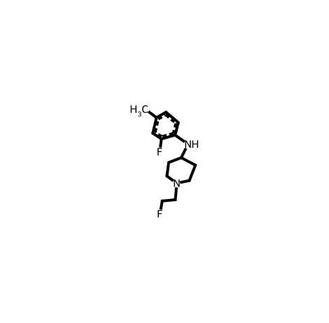 Cc1ccc(NC2CCN(CCF)CC2)c(F)c1